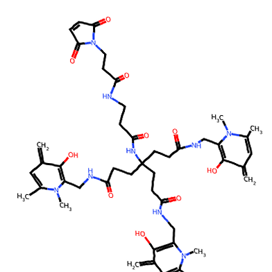 C=C1C=C(C)N(C)C(CNC(=O)CCC(CCC(=O)NCC2=C(O)C(=C)C=C(C)N2C)(CCC(=O)NCC2=C(O)C(=C)C=C(C)N2C)NC(=O)CCNC(=O)CCN2C(=O)C=CC2=O)=C1O